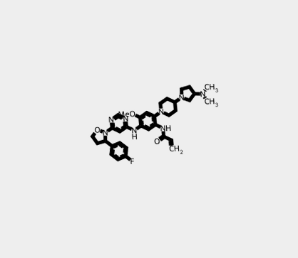 C=CC(=O)Nc1cc(Nc2cc(N3OCCC3c3ccc(F)cc3)ncn2)c(OC)cc1N1CCC(N2CCC(N(C)C)C2)CC1